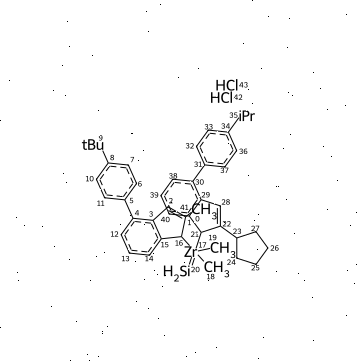 CC1=Cc2c(-c3ccc(C(C)(C)C)cc3)cccc2[CH]1[Zr]([CH3])([CH3])(=[SiH2])[CH]1C(C2CCCC2)=Cc2c(-c3ccc(C(C)C)cc3)cccc21.Cl.Cl